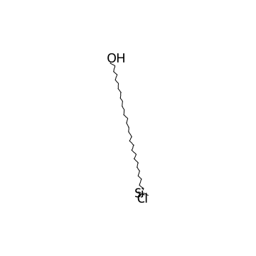 C[Si](C)(Cl)CCCCCCCCCCCCCCCCCCCCCCCCCCCCCCO